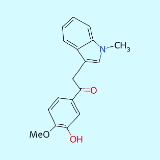 COc1ccc(C(=O)Cc2cn(C)c3ccccc23)cc1O